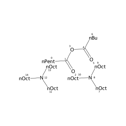 CCCCCC(=O)OC(=O)CCCC.CCCCCCCCN(CCCCCCCC)CCCCCCCC.CCCCCCCCN(CCCCCCCC)CCCCCCCC